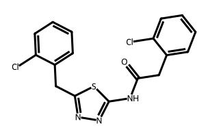 O=C(Cc1ccccc1Cl)Nc1nnc(Cc2ccccc2Cl)s1